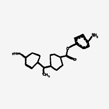 CCCCCCC1CCC(C(C)C2CCC(C(=O)Oc3ccc(N)cc3)CC2)CC1